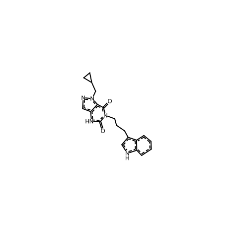 O=c1[nH]c2cnn(CC3CC3)c2c(=O)n1CCCc1c[nH]c2ccccc12